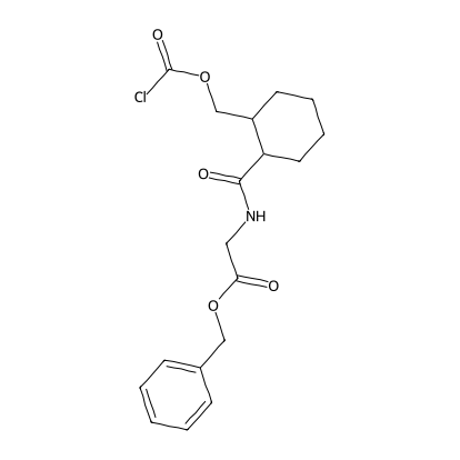 O=C(Cl)OCC1CCCCC1C(=O)NCC(=O)OCc1ccccc1